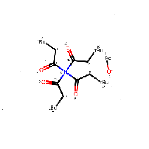 CC(=O)[O-].CC(C)(C)CC(=O)[N+](C(=O)CC(C)(C)C)(C(=O)CC(C)(C)C)C(=O)CC(C)(C)C